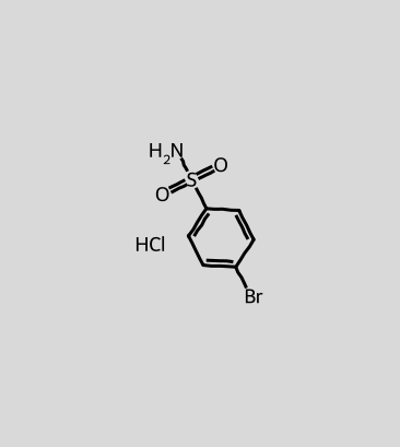 Cl.NS(=O)(=O)c1ccc(Br)cc1